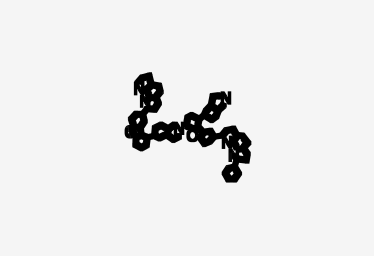 c1ccc(-c2ccc3ccc4ccc(-c5ccc6oc7c(-[n+]8ccc9cc(-c%10cccc%11oc%12ccc(-c%13ccc%14ccc%15cccnc%15c%14n%13)cc%12c%10%11)ccc9c8)ccc(-c8ccc9cnccc9c8)c7c6c5)nc4c3n2)cc1